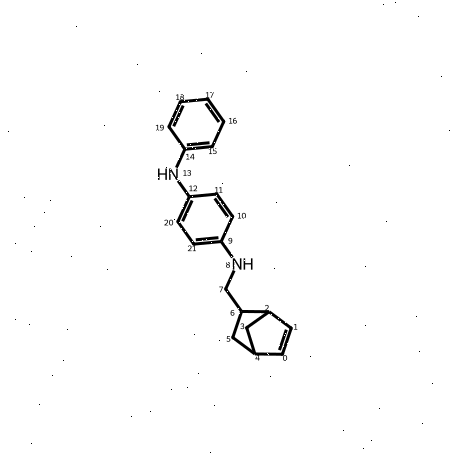 C1=CC2CC1CC2CNc1ccc(Nc2ccccc2)cc1